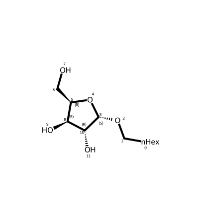 CCCCCCCO[C@H]1O[C@H](CO)[C@H](O)[C@H]1O